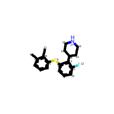 Cc1cccc(Sc2cccc(F)c2C2CCNCC2)c1C